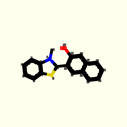 CN1c2ccccc2SC1c1cc2ccccc2cc1O